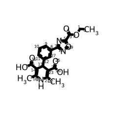 CCOC(=O)c1nc(-c2cccc(C3C(C(=O)O)=C(C)NC(C)=C3C(=O)O)c2)no1